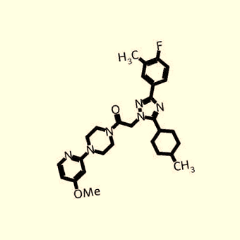 COc1ccnc(N2CCN(C(=O)Cn3nc(-c4ccc(F)c(C)c4)nc3C3CCC(C)CC3)CC2)c1